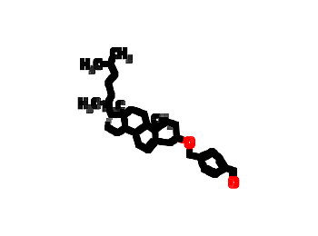 CC(C)CCC[C@@H](C)[C@H]1CCC2C3CC=C4CC(OCc5ccc(C=O)cc5)CC[C@]4(C)C3CC[C@@]21C